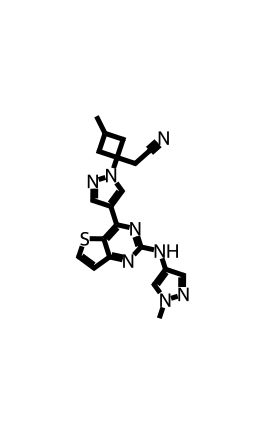 CC1CC(CC#N)(n2cc(-c3nc(Nc4cnn(C)c4)nc4ccsc34)cn2)C1